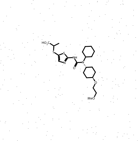 COCCO[C@H]1CC[C@H](N(C(=O)Nc2ncc(SC(C)C(=O)O)s2)C2CCCCC2)CC1